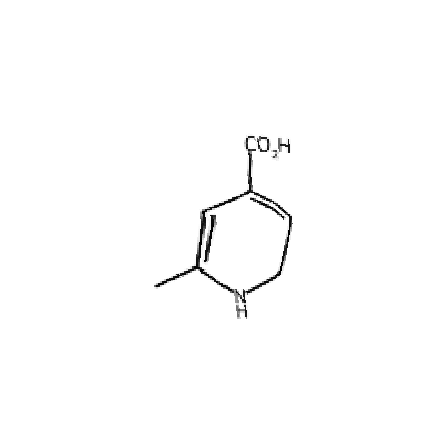 CC1=CC(C(=O)O)=CCN1